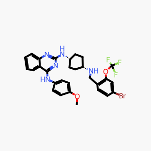 COc1ccc(Nc2nc(N[C@H]3CC[C@@H](NCc4ccc(Br)cc4OC(F)(F)F)CC3)nc3ccccc23)cc1